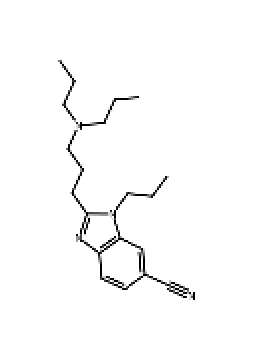 CCCN(CCC)CCCc1nc2ccc(C#N)cc2n1CCC